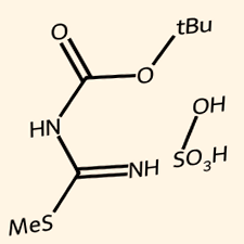 CSC(=N)NC(=O)OC(C)(C)C.O=S(=O)(O)O